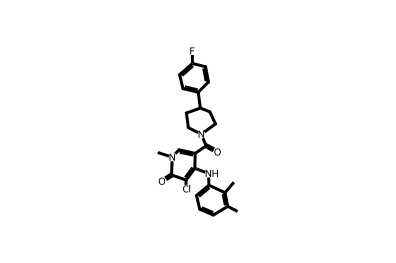 Cc1cccc(Nc2c(C(=O)N3CCC(c4ccc(F)cc4)CC3)cn(C)c(=O)c2Cl)c1C